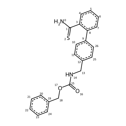 NC(=S)c1ccccc1-c1ccc(CNC(=O)OCc2ccccc2)cc1